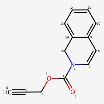 C#CCOC(=O)N1C=Cc2ccccc2C1